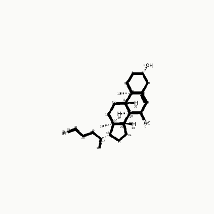 CC(=O)C1C=C2C[C@@H](O)CC[C@]2(C)[C@H]2CC[C@]3(C)[C@@H](C(C)CCCC(C)C)CC[C@H]3[C@H]12